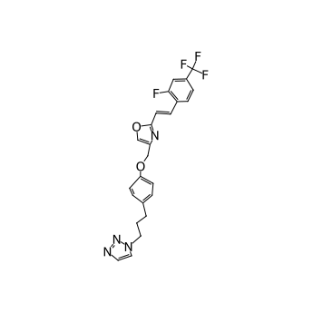 Fc1cc(C(F)(F)F)ccc1C=Cc1nc(COc2ccc(CCCn3ccnn3)cc2)co1